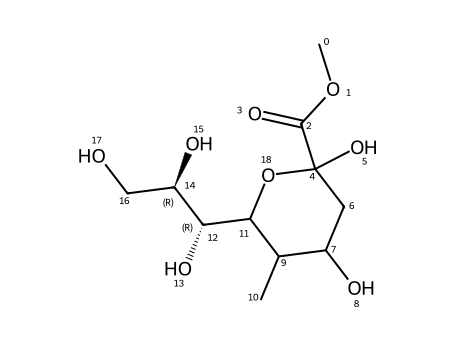 COC(=O)C1(O)CC(O)C(C)C([C@H](O)[C@H](O)CO)O1